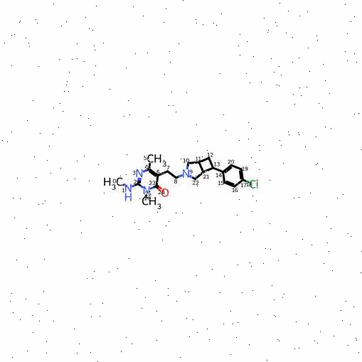 CNc1nc(C)c(CCN2CC3CC(c4ccc(Cl)cc4)C3C2)c(=O)n1C